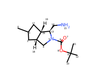 CC1C[C@H]2CN(C(=O)OC(C)(C)C)[C@H](CN)[C@H]2C1